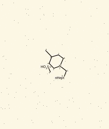 CCCCCCCCN1CCC(C)CC1.CS(=O)(=O)O